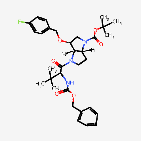 CC(C)(C)OC(=O)N1C[C@H](OCc2ccc(F)cc2)[C@@H]2[C@H]1CCN2C(=O)C(NC(=O)OCc1ccccc1)C(C)(C)C